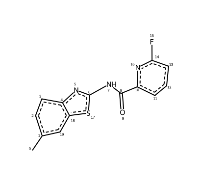 Cc1ccc2nc(NC(=O)c3cccc(F)n3)sc2c1